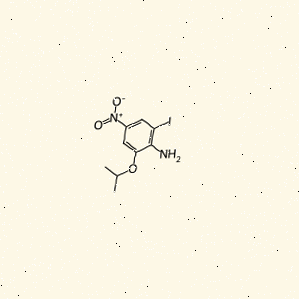 CC(C)Oc1cc([N+](=O)[O-])cc(I)c1N